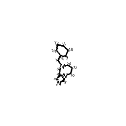 c1ncn2c1CN(CC1CCCCC1)CCC2